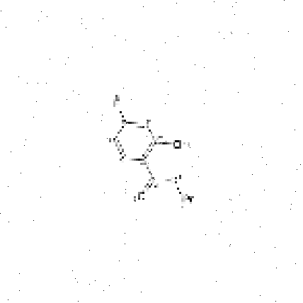 CC(C)OC(=O)c1c[c]c(F)cc1Cl